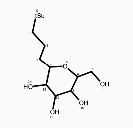 CC(C)(C)CCCC1OC(CO)C(O)C(O)C1O